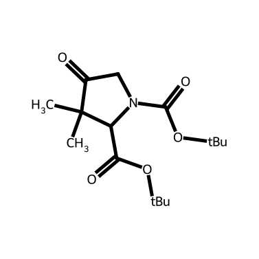 CC(C)(C)OC(=O)C1N(C(=O)OC(C)(C)C)CC(=O)C1(C)C